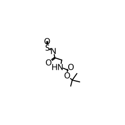 CC(C)(C)OC(=O)NCC(=O)N=S=O